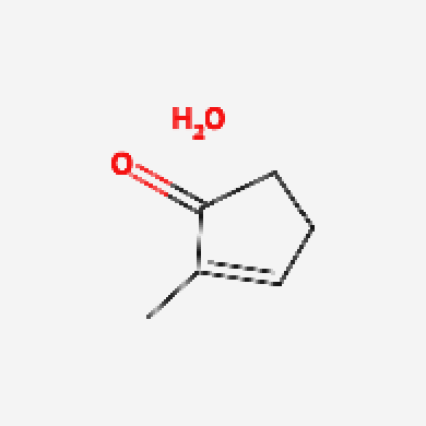 CC1=CCCC1=O.O